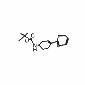 CC(C)(C)OC(=O)NC1CC=C(c2ccccc2)CC1